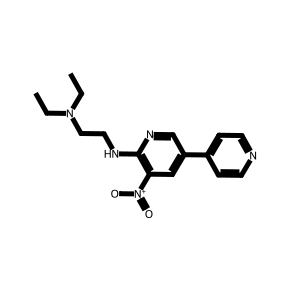 CCN(CC)CCNc1ncc(-c2ccncc2)cc1[N+](=O)[O-]